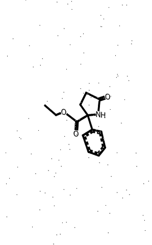 CCOC(=O)C1(c2ccccc2)CCC(=O)N1